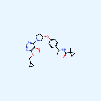 COc1c(OCC2CC2)ncnc1N1CC[C@@H](Oc2ccc([C@H](C)NC(=O)C3(C)CC3)cc2)C1